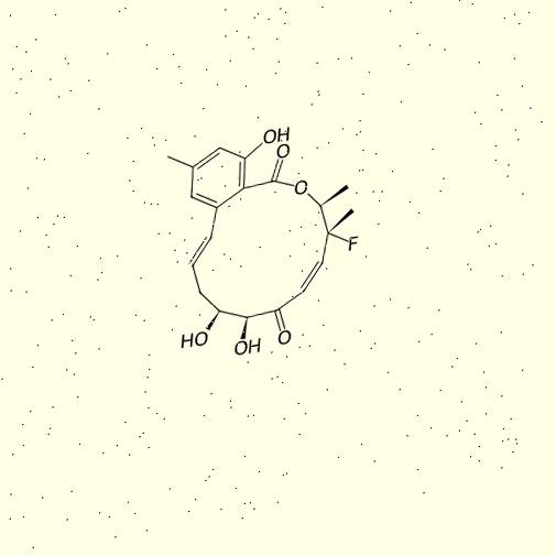 Cc1cc(O)c2c(c1)/C=C/C[C@H](O)[C@H](O)C(=O)/C=C\[C@@](C)(F)[C@H](C)OC2=O